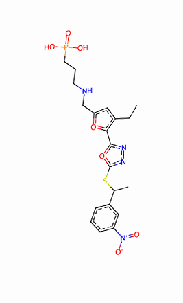 CCc1cc(CNCCCP(=O)(O)O)oc1-c1nnc(SC(C)c2cccc([N+](=O)[O-])c2)o1